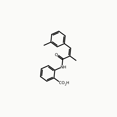 CC(=Cc1cccc(C)c1)C(=O)Nc1ccccc1C(=O)O